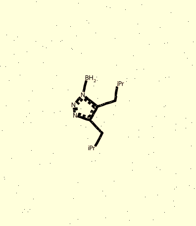 Bn1nnc(CC(C)C)c1CC(C)C